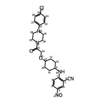 N#Cc1cc(N=O)ccc1NC1CCC(OCC(=O)N2CCN(c3ccc(Cl)cc3)CC2)CC1